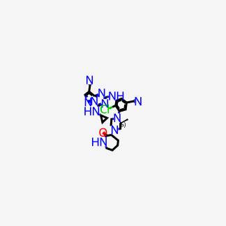 C[C@H]1CN(C2CCCCNC2=O)CCN1c1cc(C#N)cc(Nc2nc(NC3CC3)n3ncc(C#N)c3n2)c1Cl